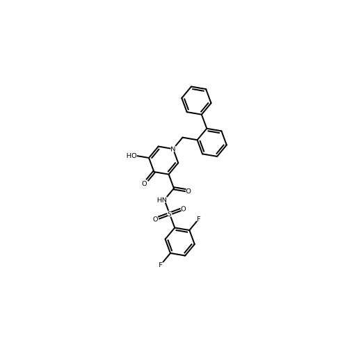 O=C(NS(=O)(=O)c1cc(F)ccc1F)c1cn(Cc2ccccc2-c2ccccc2)cc(O)c1=O